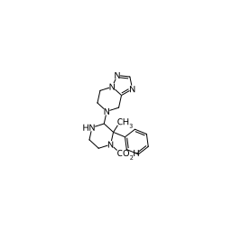 CC1(c2ccccc2)C(N2CCn3ncnc3C2)NCCN1C(=O)O